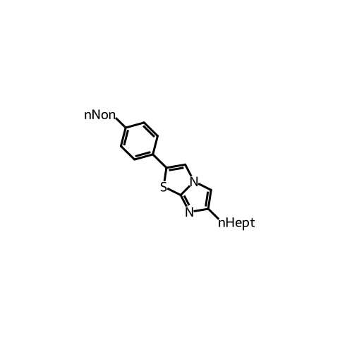 CCCCCCCCCc1ccc(-c2cn3cc(CCCCCCC)nc3s2)cc1